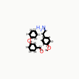 COc1ccc(CCN)cc1.O=Cc1cccc(Oc2ccccc2)c1